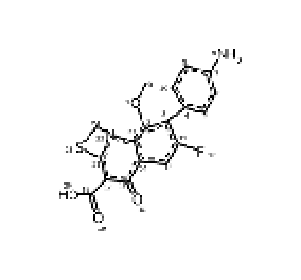 COc1c(-c2ccc(N)cc2)c(F)cc2c(=O)c(C(=O)O)c3n(c12)CS3